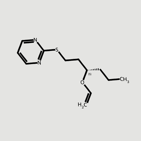 C=CO[C@@H](CCC)CCSc1ncccn1